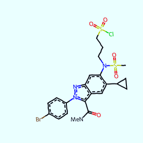 CNC(=O)c1c2cc(C3CC3)c(N(CCCS(=O)(=O)Cl)S(C)(=O)=O)cc2nn1-c1ccc(Br)cc1